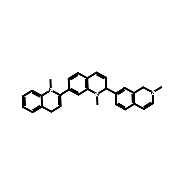 CN1C=Cc2ccc(C3C=Cc4ccc(C5=CCc6ccccc6N5C)cc4N3C)cc2C1